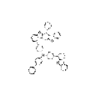 c1ccc(-c2ccc(N(c3ccc(-c4cccc5c4oc4ccccc45)cc3)c3ccc(-c4cccc5oc6c(-c7ccccc7)c7c(cc6c45)oc4ccccc47)cc3)cc2)cc1